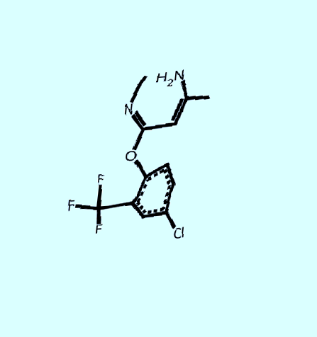 C/N=C(\C=C(\C)N)Oc1ccc(Cl)cc1C(F)(F)F